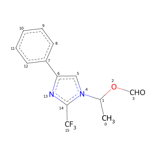 CC(OC=O)n1cc(-c2ccccc2)nc1C(F)(F)F